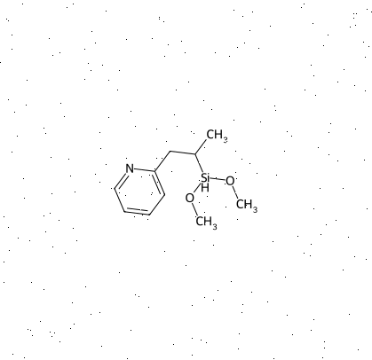 CO[SiH](OC)C(C)Cc1ccccn1